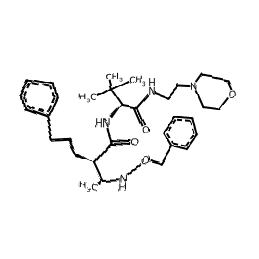 C[C@H](NOCc1ccccc1)[C@@H](CCCc1ccccc1)C(=O)N[C@H](C(=O)NCCN1CCOCC1)C(C)(C)C